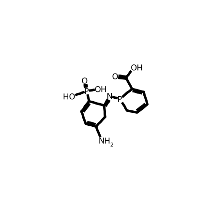 NC1=CC=C(P(=O)(O)O)C(=NP2CC=CC=C2C(=O)O)C1